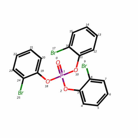 O=P(Oc1ccccc1Br)(Oc1ccccc1Br)Oc1ccccc1Br